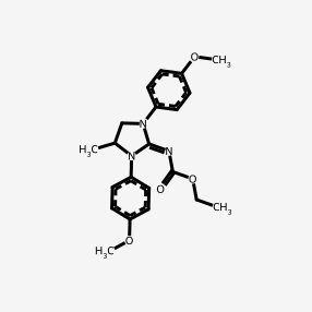 CCOC(=O)N=C1N(c2ccc(OC)cc2)CC(C)N1c1ccc(OC)cc1